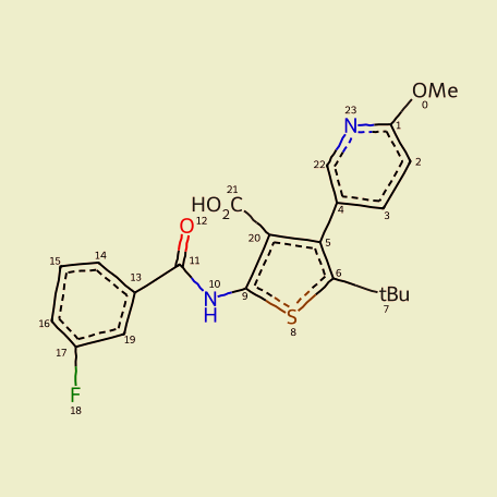 COc1ccc(-c2c(C(C)(C)C)sc(NC(=O)c3cccc(F)c3)c2C(=O)O)cn1